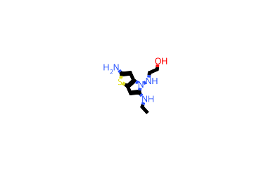 CCNc1cc2sc(N)cc2n1NCCO